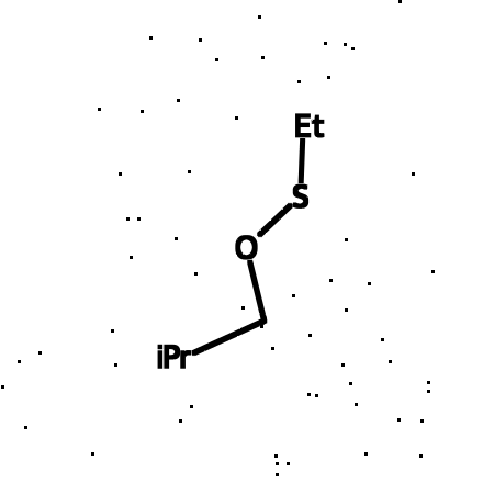 CCSOCC(C)C